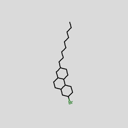 CCCCCCCCCC1CCC2C(CCC3CC(Br)CCC32)C1